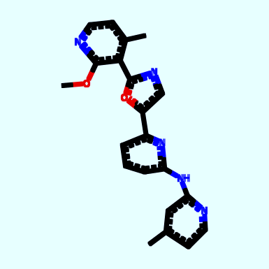 COc1nccc(C)c1-c1ncc(-c2cccc(Nc3cc(C)ccn3)n2)o1